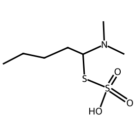 CCCCC(SS(=O)(=O)O)N(C)C